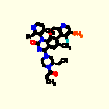 C=CC(=O)N1CCN(c2nc(=O)n(-c3c(C)ccnc3C(C)C)c3c4c(c(C)cc23)-c2c(ncc(P)c2F)CO4)C[C@@H]1CC#N